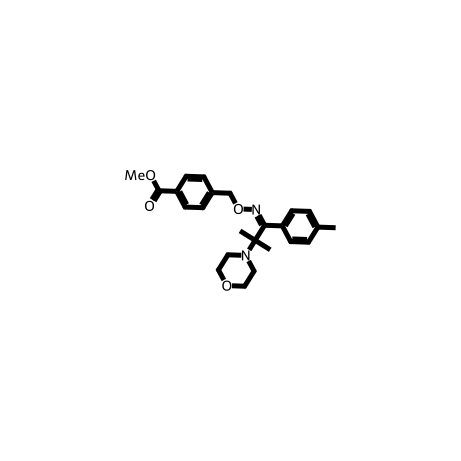 COC(=O)c1ccc(CON=C(c2ccc(C)cc2)C(C)(C)N2CCOCC2)cc1